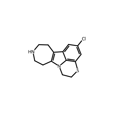 Clc1cc2c3c(c1)c1c(n3CCS2)CCNCC1